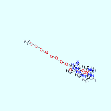 CC[C@H](NC(=O)CCOCCOCCOCCOCCOCCOCCOCCOC)C(=O)N[C@@H](Cc1cncn1C)C(=O)N[C@@H](C)C(=O)N[C@H](C(=O)N[C@@H](CC)C(=O)NC)C(C)C